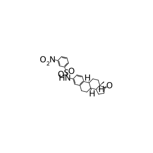 C[C@]12CC[C@@H]3c4ccc(NS(=O)(=O)c5cccc([N+](=O)[O-])c5)cc4CC[C@H]3[C@@H]1CCC2=O